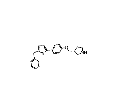 c1ccc(Cc2ccc(-c3ccc(OC[C@@H]4CCNC4)cc3)s2)cc1